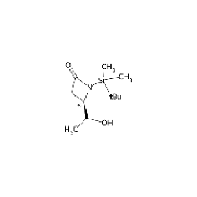 CC(O)[C@H]1CC(=O)N1[Si](C)(C)C(C)(C)C